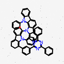 C1=c2c(n(-c3ccccc3)c3c(-n4c5ccccc5c5ccc6c7ccccc7n(-c7ccccc7)c6c54)cccc23)=C(c2cccc(-c3nc(-c4ccccc4)nc(-c4ccccc4)n3)c2)CC1